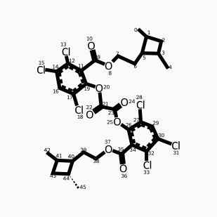 CC1CC(C)C1CCOC(=O)c1c(Cl)c(Cl)cc(Cl)c1OC(=O)C(=O)Oc1c(Cl)cc(Cl)c(Cl)c1C(=O)OCCC1C(C)C[C@H]1C